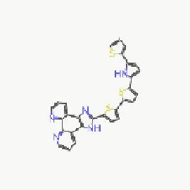 c1csc(-c2ccc(-c3ccc(-c4ccc(-c5nc6c7cccnc7c7ncccc7c6[nH]5)s4)s3)[nH]2)c1